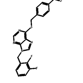 O=Nc1ccc(CSc2ncnc3c2ncn3Cc2cccc(F)c2F)cc1